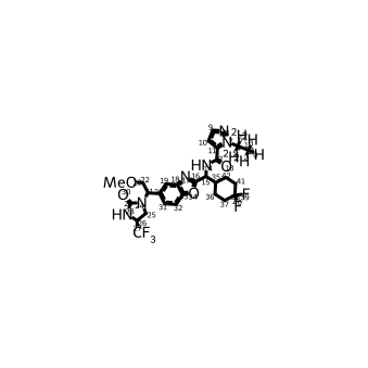 [2H]C([2H])([2H])C([2H])([2H])n1nccc1C(=O)NC(c1nc2cc(C(COC)N3CC(C(F)(F)F)NC3=O)ccc2o1)C1CCC(F)(F)CC1